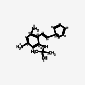 CC(C)(O)Nc1cc(N)cc(N)c1C=Cc1ccccc1